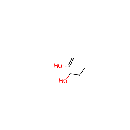 C=CO.CCCO